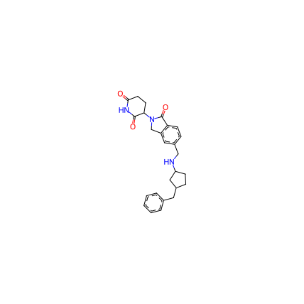 O=C1CCC(N2Cc3cc(CNC4CCC(Cc5ccccc5)C4)ccc3C2=O)C(=O)N1